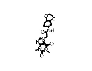 Cn1c(=O)c2c(ncn2CC(=O)Nc2ccc3c(c2)OCCO3)n(C)c1=O